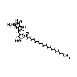 CCCCCCCCCCCCCCCCCCCC(=O)OCC(CCO)CN1CNc2c1nc(N)[nH]c2=O